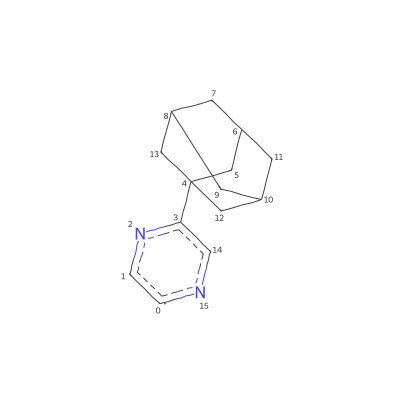 [c]1cnc(C23CC4CC(CC(C4)C2)C3)cn1